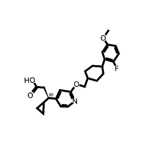 COc1ccc(F)c(C2CCC(COc3cc([C@H](CC(=O)O)C4CC4)ccn3)CC2)c1